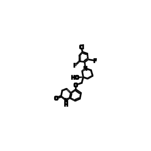 O=C1CCc2c(cccc2OCC2(O)CCCN(c3c(F)cc(Cl)cc3F)C2)N1